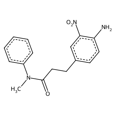 CN(C(=O)CCc1ccc(N)c([N+](=O)[O-])c1)c1ccccc1